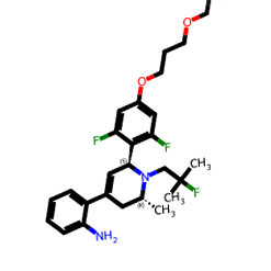 C[C@@H]1CC(c2ccccc2N)=C[C@@H](c2c(F)cc(OCCCOCC(=O)O)cc2F)N1CC(C)(C)F